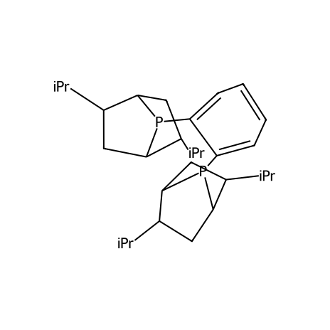 CC(C)C1CC2C(C(C)C)CC1P2c1ccccc1P1C2CC(C(C)C)C1CC2C(C)C